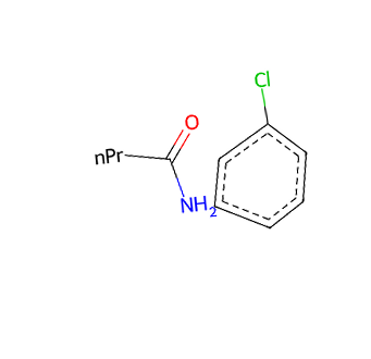 CCCC(N)=O.Clc1ccccc1